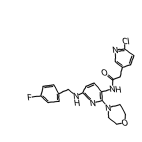 O=C(Cc1ccc(Cl)nc1)Nc1ccc(NCc2ccc(F)cc2)nc1N1CCOCC1